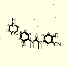 N#Cc1cc(NC(=O)Nc2ccc([C@H]3CNCCO3)cc2F)ccc1F